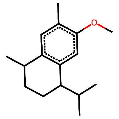 COc1cc2c(cc1C)C(C)CCC2C(C)C